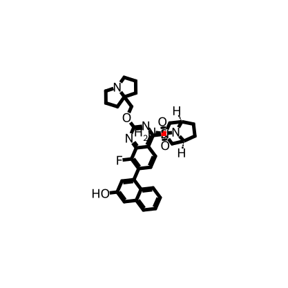 NS(=O)(=O)N1[C@@H]2CC[C@H]1CN(c1nc(OCC34CCCN3CCC4)nc3c(F)c(-c4cc(O)cc5ccccc45)ccc13)C2